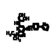 CC(C)n1cnc2c(NCc3ccc(-c4ccccn4)cc3)cc(NC(CO)CO)nc21